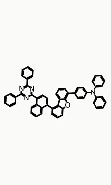 c1ccc(-c2nc(-c3ccccc3)nc(-c3ccc(-c4cccc5oc6c(-c7ccc(N(c8ccccc8)c8ccccc8)cc7)cccc6c45)c4ccccc34)n2)cc1